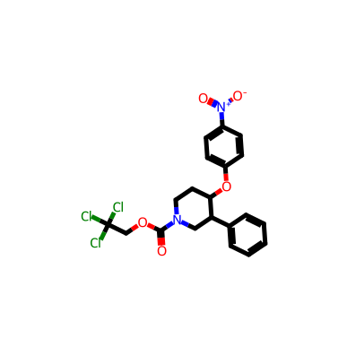 O=C(OCC(Cl)(Cl)Cl)N1CCC(Oc2ccc([N+](=O)[O-])cc2)C(c2ccccc2)C1